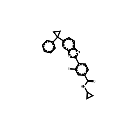 O=C(NC1CC1)c1ccc(-c2nc3ccc(C4(c5ccccc5)CC4)nc3s2)c(F)c1